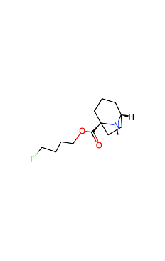 CN1[C@@H]2CCC[C@@]1(C(=O)OCCCCF)CC2